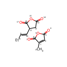 CC1=CC(=O)OC1=O.CCC=CC1CC(=O)OC1=O